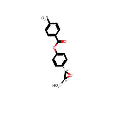 O=C(Oc1ccc([C@@H]2O[C@H]2C(=O)O)cc1)c1ccc([N+](=O)[O-])cc1